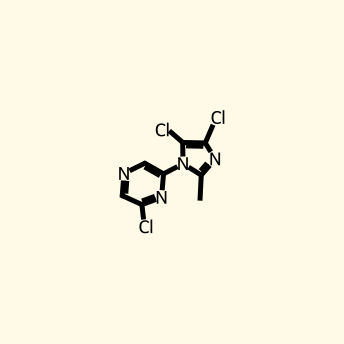 Cc1nc(Cl)c(Cl)n1-c1cncc(Cl)n1